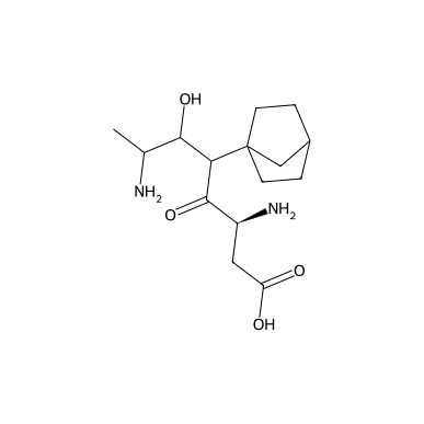 CC(N)C(O)C(C(=O)[C@@H](N)CC(=O)O)C12CCC(CC1)C2